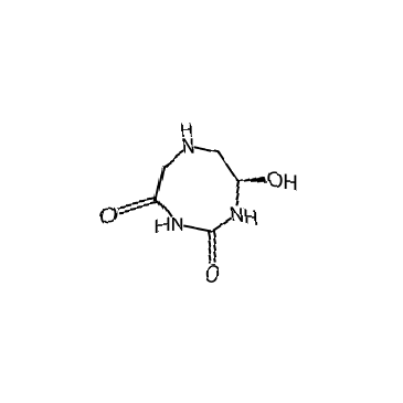 O=C1CNC[C@@H](O)NC(=O)N1